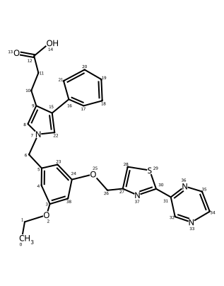 CCOc1cc(Cn2cc(CCC(=O)O)c(-c3ccccc3)c2)cc(OCc2csc(-c3cnccn3)n2)c1